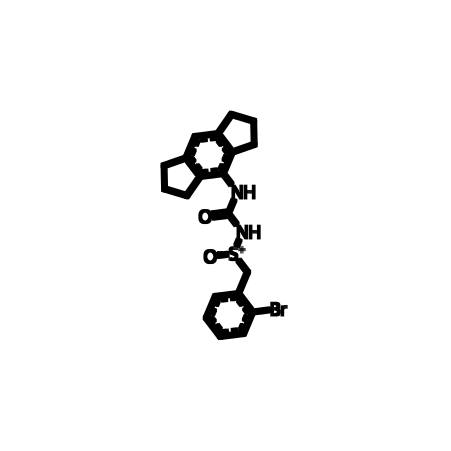 O=C(Nc1c2c(cc3c1CCC3)CCC2)N[S+]([O-])Cc1ccccc1Br